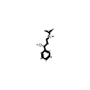 CC(C)NCC[C@H](O)c1ccccc1